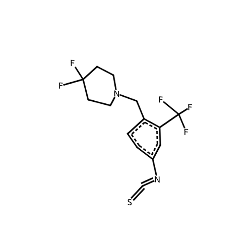 FC1(F)CCN(Cc2ccc(N=C=S)cc2C(F)(F)F)CC1